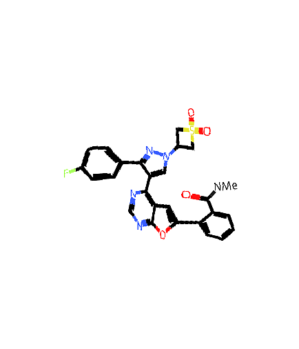 CNC(=O)c1ccccc1-c1cc2c(-c3cn(C4CS(=O)(=O)C4)nc3-c3ccc(F)cc3)ncnc2o1